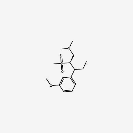 CCC(c1cccc(OC)c1)[C@H](CN(C)C)S(C)(=O)=O